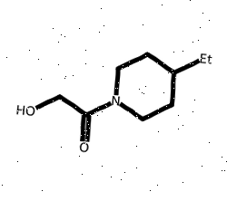 CCC1CCN(C(=O)CO)CC1